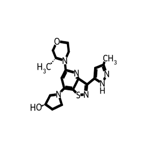 Cc1cc(-c2nsc3c(N4CC[C@H](O)C4)cc(N4CCOC[C@H]4C)nc23)[nH]n1